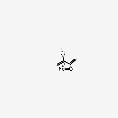 C=CC(=C)Cl.[O]=[Fe]